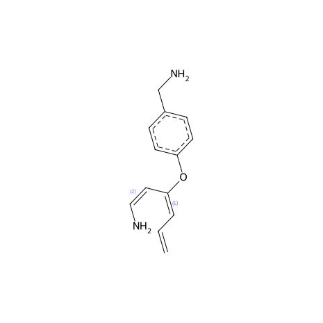 C=C/C=C(\C=C/N)Oc1ccc(CN)cc1